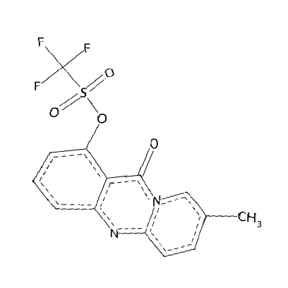 Cc1ccc2nc3cccc(OS(=O)(=O)C(F)(F)F)c3c(=O)n2c1